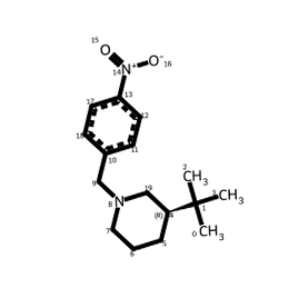 CC(C)(C)[C@H]1CCCN(Cc2ccc([N+](=O)[O-])cc2)C1